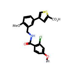 COc1ccc(-c2csc(C(=O)O)c2)cc1CNC(=O)c1ccc(OC(C)C)cc1Cl